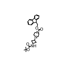 CC(C)(C)OC(=O)NC1CC(N2CCN(C(=O)OCC3c4ccccc4-c4ccccc43)CC2)C1